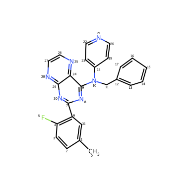 Cc1ccc(F)c(-c2nc(N(Cc3ccccc3)c3ccncc3)c3nccnc3n2)c1